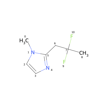 Cn1ccnc1CC(C)(F)F